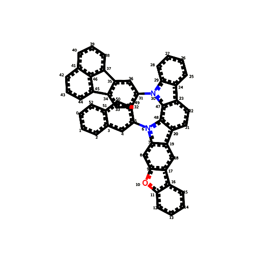 c1ccc2cc(-n3c4cc5oc6ccccc6c5cc4c4ccc5c6ccccc6n(-c6ccc7c(c6)-c6cccc8cccc-7c68)c5c43)ccc2c1